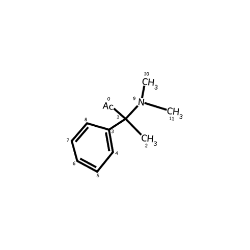 CC(=O)C(C)(c1ccccc1)N(C)C